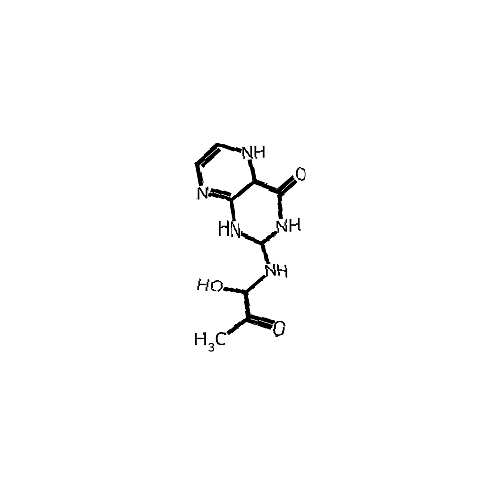 CC(=O)C(O)NC1NC(=O)C2NC=CN=C2N1